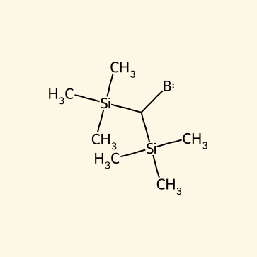 [B]C([Si](C)(C)C)[Si](C)(C)C